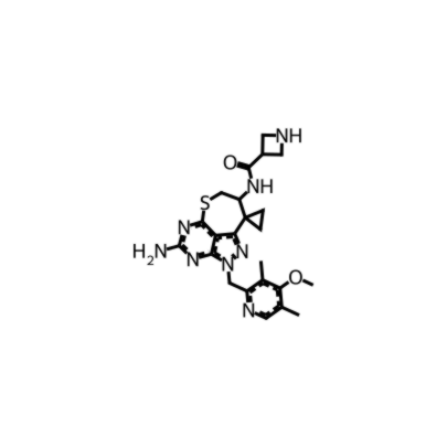 COc1c(C)cnc(Cn2nc3c4c(nc(N)nc42)SCC(NC(=O)C2CNC2)C32CC2)c1C